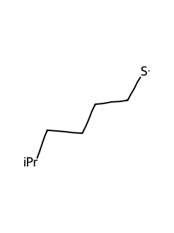 CC(C)CCCC[S]